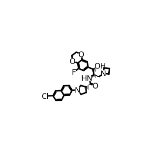 O=C(N[C@H](CN1CCC1)[C@H](O)c1cc(F)c2c(c1)OCCO2)[C@@H]1CCN(c2ccc3cc(Cl)ccc3c2)C1